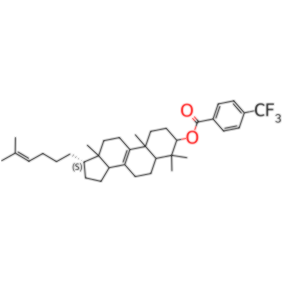 CC(C)=CCCC[C@H]1CCC2C3=C(CCC21C)C1(C)CCC(OC(=O)c2ccc(C(F)(F)F)cc2)C(C)(C)C1CC3